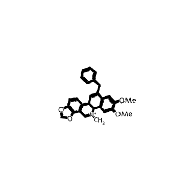 COc1cc2c(cc1OC)C1C(C=C2Cc2ccccc2)c2ccc3c(c2C=[N+]1C)OCO3